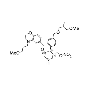 COCCCN1CCOc2ccc(CO[C@H]3CNC[C@@H](CO[N+](=O)[O-])[C@@H]3c3ccc(COCC(C)COC)cc3)cc21